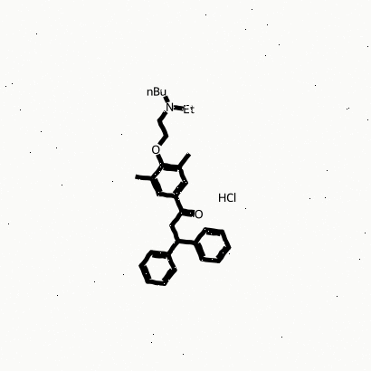 CCCCN(CC)CCOc1c(C)cc(C(=O)CC(c2ccccc2)c2ccccc2)cc1C.Cl